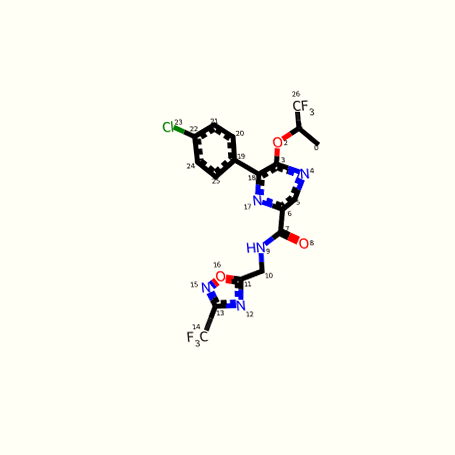 CC(Oc1ncc(C(=O)NCc2nc(C(F)(F)F)no2)nc1-c1ccc(Cl)cc1)C(F)(F)F